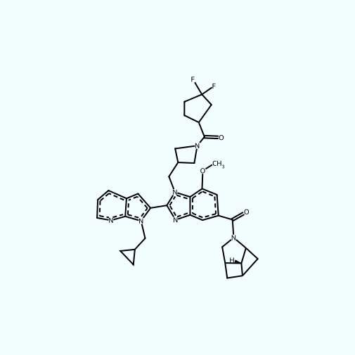 COc1cc(C(=O)N2CC3CC4CC2[C@H]43)cc2nc(-c3cc4cccnc4n3CC3CC3)n(CC3CN(C(=O)C4CCC(F)(F)C4)C3)c12